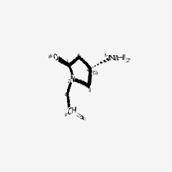 CCN1C[C@@H](N)CC1=O